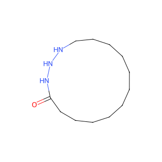 O=C1CCCCCCCCCCCNNN1